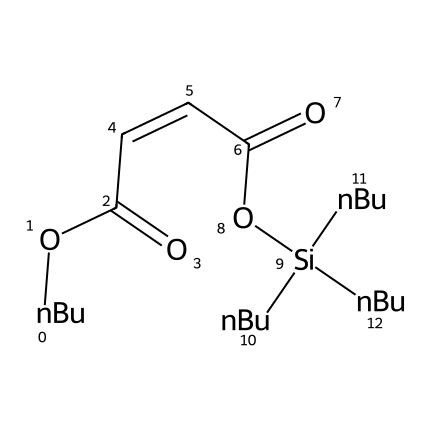 CCCCOC(=O)/C=C\C(=O)O[Si](CCCC)(CCCC)CCCC